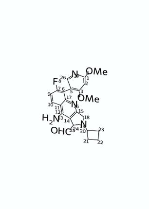 COc1cc(OC)c(-c2c(F)ccc3c(N)c4c(nc23)CN(C2CCC2)C4C=O)cn1